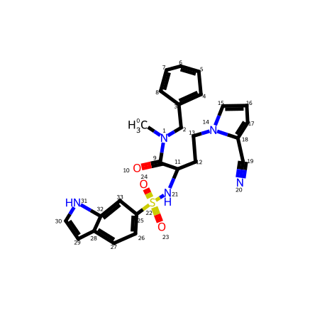 CN(Cc1ccccc1)C(=O)C(CCn1cccc1C#N)NS(=O)(=O)c1ccc2cc[nH]c2c1